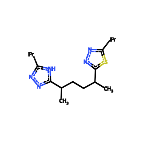 CC(C)c1nnc(C(C)CCC(C)c2nnc(C(C)C)s2)[nH]1